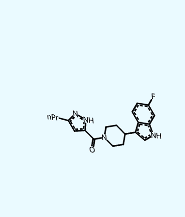 CCCc1cc(C(=O)N2CCC(c3c[nH]c4cc(F)ccc34)CC2)[nH]n1